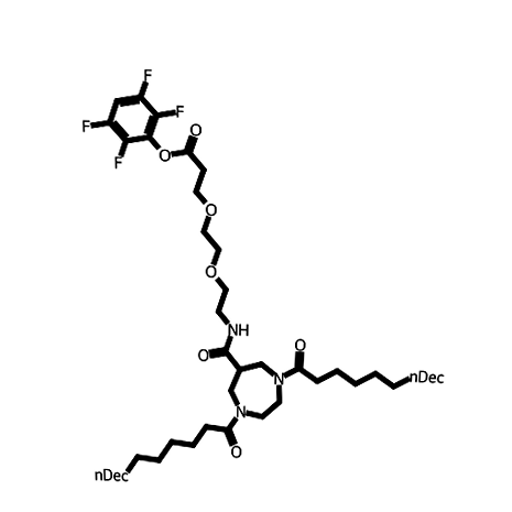 CCCCCCCCCCCCCCCC(=O)N1CCN(C(=O)CCCCCCCCCCCCCCC)CC(C(=O)NCCOCCOCCC(=O)Oc2c(F)c(F)cc(F)c2F)C1